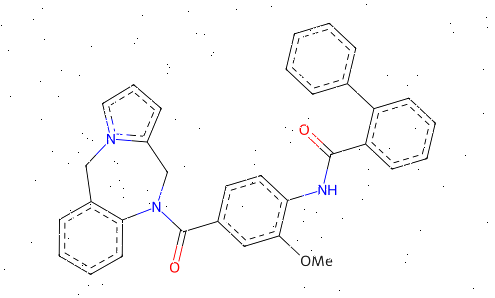 COc1cc(C(=O)N2Cc3cccn3Cc3ccccc32)ccc1NC(=O)c1ccccc1-c1ccccc1